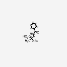 CCCCC(C)(CNC(=O)c1ccccc1)C(=O)O